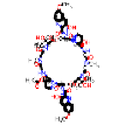 COc1ccc2nc(C(=O)N[C@@H]3COC(=O)[C@H](C(C)(C)O)N(C)C(=O)CN(C)C(=O)CNC(=O)[C@@H]4[C@@H](O)CC=NN4C(=O)[C@H](NC(=O)c4nc5ccc(OC)cc5cc4O)COC(=O)[C@H](C(C)(C)O)N(C)C(=O)CN(C)C(=O)CNC(=O)[C@@H]4[C@@H](OC(C)=O)CC=NN4C3=O)c(O)cc2c1